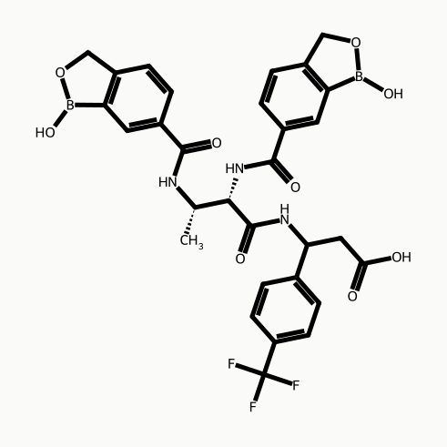 C[C@H](NC(=O)c1ccc2c(c1)B(O)OC2)[C@H](NC(=O)c1ccc2c(c1)B(O)OC2)C(=O)NC(CC(=O)O)c1ccc(C(F)(F)F)cc1